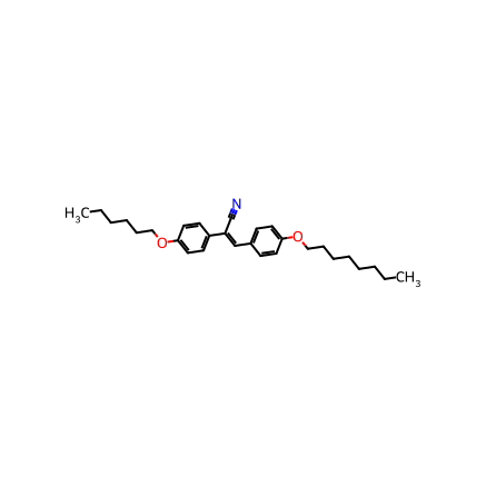 CCCCCCCCOc1ccc(C=C(C#N)c2ccc(OCCCCCC)cc2)cc1